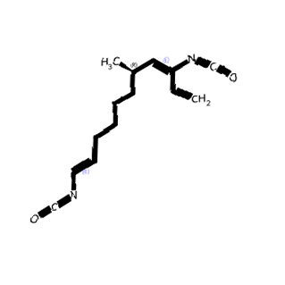 C=C/C(=C\[C@H](C)CCCC/C=C/N=C=O)N=C=O